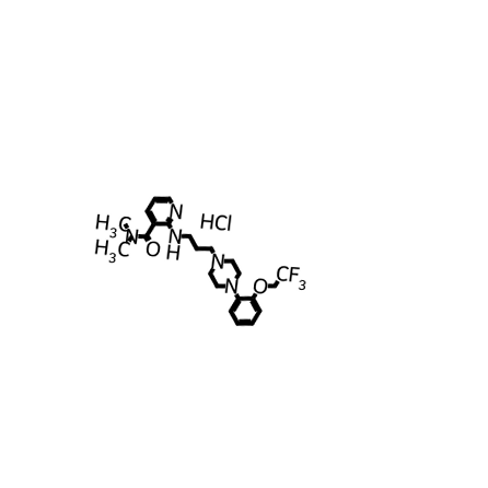 CN(C)C(=O)c1cccnc1NCCCN1CCN(c2ccccc2OCC(F)(F)F)CC1.Cl